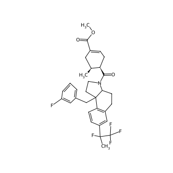 COC(=O)C1=CC[C@@H](C(=O)N2CCC3(Cc4cccc(F)c4)c4ccc(C(C)(F)C(F)(F)F)cc4CCC23)[C@@H](C)C1